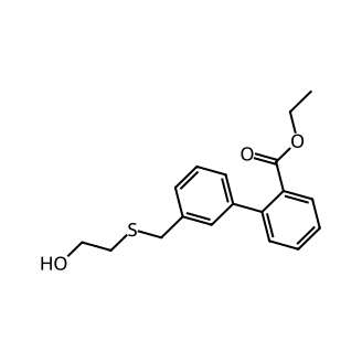 CCOC(=O)c1ccccc1-c1cccc(CSCCO)c1